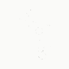 COc1cc(C=C[c+]2sc3ccccc3n2C)ccc1O[C@@H]1O[C@H](CO)[C@@H](O)[C@H](O)[C@H]1O.[I-]